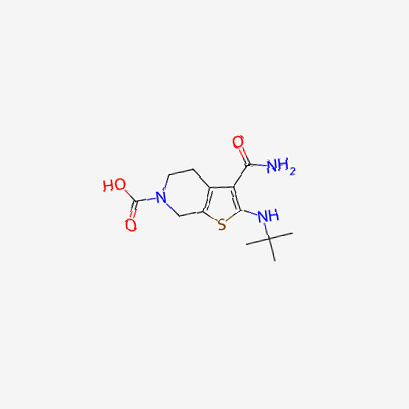 CC(C)(C)Nc1sc2c(c1C(N)=O)CCN(C(=O)O)C2